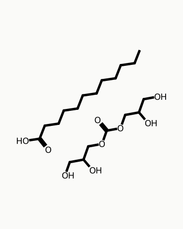 CCCCCCCCCCCC(=O)O.O=C(OCC(O)CO)OCC(O)CO